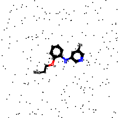 CCc1cncc(Nc2ccccc2OCCOC)c1